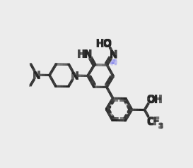 CN(C)C1CCN(C2=CC(c3cccc(C(O)C(F)(F)F)c3)=C/C(=N/O)C2=N)CC1